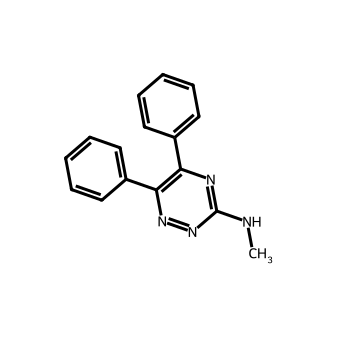 CNc1nnc(-c2ccccc2)c(-c2ccccc2)n1